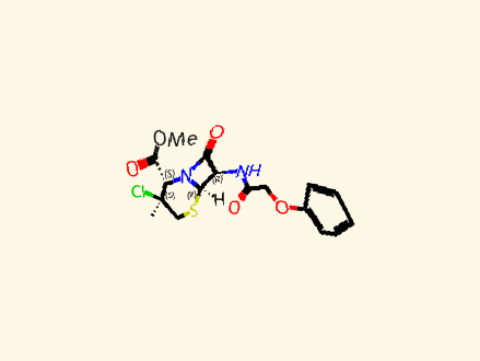 COC(=O)[C@@H]1N2C(=O)[C@@H](NC(=O)COc3ccccc3)[C@H]2SC[C@@]1(C)Cl